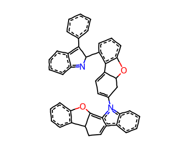 C1=C2c3c(cccc3C3N=c4ccccc4=C3c3ccccc3)OC2CC(n2c3c(c4ccccc42)=CCC2C=3Oc3ccccc32)=C1